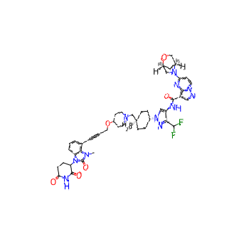 B[C@]1(CN2CCC(OCC#Cc3cccc4c3n(C)c(=O)n4C3CCC(=O)NC3=O)CC2)CC[C@H](n2cc(NC(=O)c3cnn4ccc(N5C[C@H]6C[C@@H]5CO6)nc34)c(C(F)F)n2)CC1